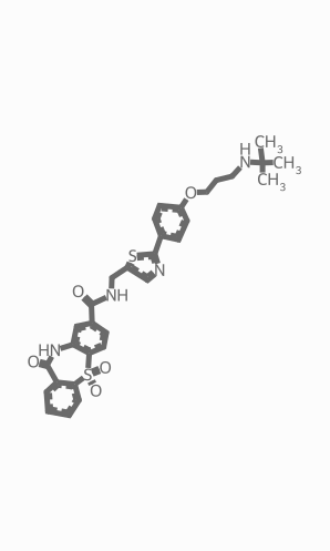 CC(C)(C)NCCCOc1ccc(-c2ncc(CNC(=O)c3ccc4c(c3)NC(=O)c3ccccc3S4(=O)=O)s2)cc1